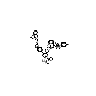 COc1ccccc1COCCCOc1ccc(C2CCN(C(=O)O)C[C@H]2OC[C@H]2CN(S(=O)(=O)c3ccc(C)cc3)c3ccccc3O2)cc1